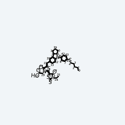 CCCCCSc1ccc(N2c3ccc(/C=c4\s/c(=C5/SC(=S)N(CC)C5=O)n(CC(=O)O)c4=O)cc3C3CCCC32)cc1